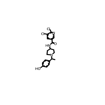 CC(c1ccc(O)cc1)N1CCC(NC(=O)c2cnc(Cl)c(Cl)c2)CC1